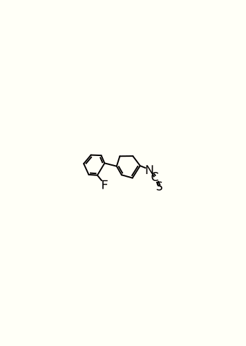 Fc1ccccc1C1=CC=C(N=C=S)CC1